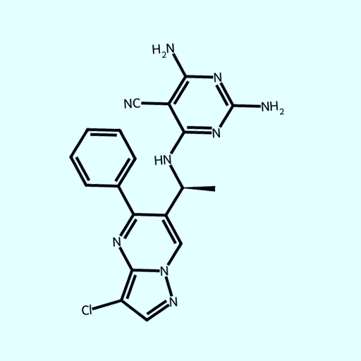 C[C@H](Nc1nc(N)nc(N)c1C#N)c1cn2ncc(Cl)c2nc1-c1ccccc1